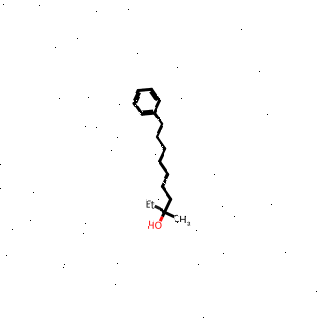 CCC(C)(O)CCCCCCCc1ccccc1